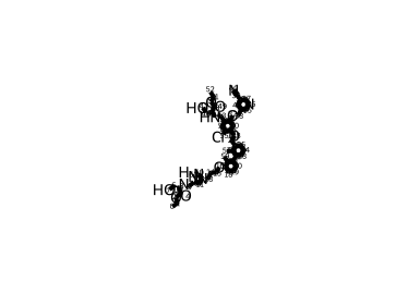 CCOC(=O)[C@@H](CO)NCc1cn(CCCOc2cccc(-c3cccc(COc4cc(OCc5cncc(C#N)c5)c(CN[C@H](CO)C(=O)OCC)cc4Cl)c3C)c2C)nn1